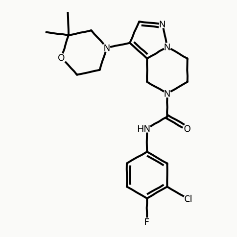 CC1(C)CN(c2cnn3c2CN(C(=O)Nc2ccc(F)c(Cl)c2)CC3)CCO1